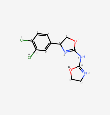 Clc1ccc(C2COC(NC3=NCCO3)=N2)cc1Cl